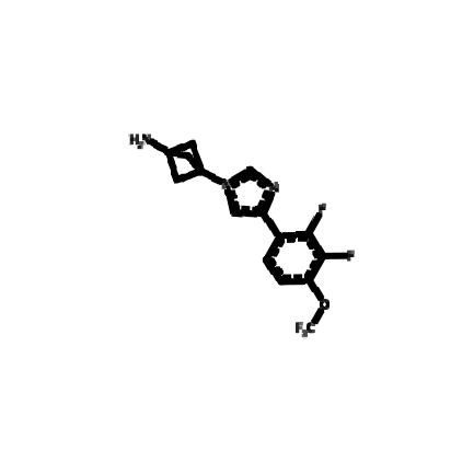 NC12CC(n3cnc(-c4ccc(OC(F)(F)F)c(F)c4F)c3)(C1)C2